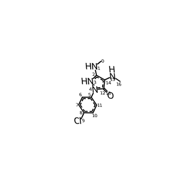 CNc1[nH]n(-c2ccc(Cl)cc2)c(=O)c1NC